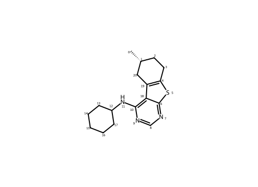 C[C@@H]1CCc2sc3ncnc(NC4CCCCC4)c3c2C1